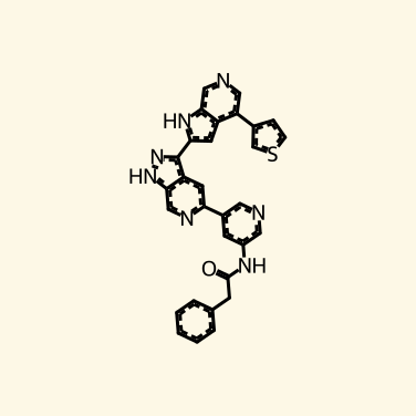 O=C(Cc1ccccc1)Nc1cncc(-c2cc3c(-c4cc5c(-c6ccsc6)cncc5[nH]4)n[nH]c3cn2)c1